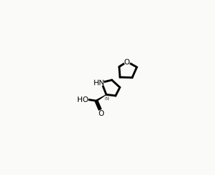 C1CCOC1.O=C(O)[C@@H]1CCCN1